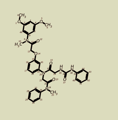 COc1cc(OC)cc(N(C)C(=O)COc2cccc(N(CC(=O)N(C)c3ccccc3)C(=O)CNC(=O)Nc3[c]cccc3)c2)c1